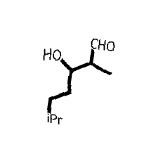 CC(C)CCC(O)C(C)C=O